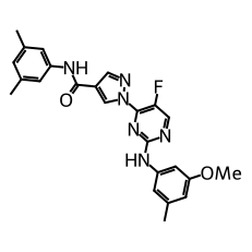 COc1cc(C)cc(Nc2ncc(F)c(-n3cc(C(=O)Nc4cc(C)cc(C)c4)cn3)n2)c1